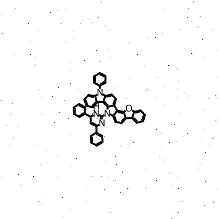 C1=C(c2ccccc2)N=C(n2c3ccc4c5ccccc5oc4c3c3ccc4c(c5ccccc5n4-c4ccccc4)c32)NC1c1ccccc1